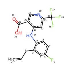 C=CCc1cc(F)ccc1Nc1cc(C(F)(F)F)ncc1C(=O)O